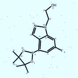 CC1(C)OB(c2cc(F)cc3c2cnn3CCO)OC1(C)C